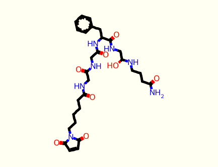 NC(=O)CCCNC(O)CNC(=O)C(Cc1ccccc1)NC(=O)CNC(=O)CNC(=O)CCCCCN1C(=O)C=CC1=O